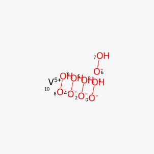 [O-]O.[O-]O.[O-]O.[O-]O.[O-]O.[V+5]